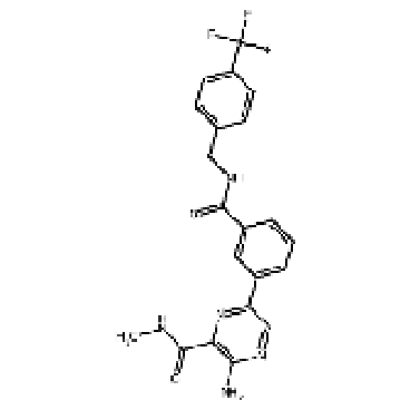 CNC(=O)c1nc(-c2cccc(C(=O)NCc3ccc(C(F)(F)F)cc3)c2)cnc1N